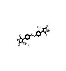 CC1=C(c2ccc(SSc3ccc(C4=C(C)C(=O)NC4=O)cc3)cc2)C(=O)NC1=O